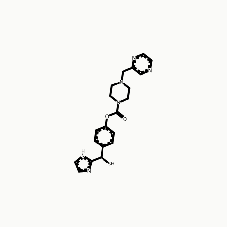 O=C(Oc1ccc(C(S)c2ncc[nH]2)cc1)N1CCN(Cc2cnccn2)CC1